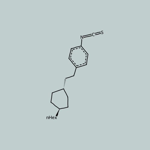 CCCCCC[C@H]1CC[C@H](CCc2ccc(N=C=S)cc2)CC1